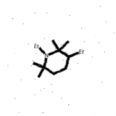 CCC1CCC(C)(C)N(CC)C1(C)C